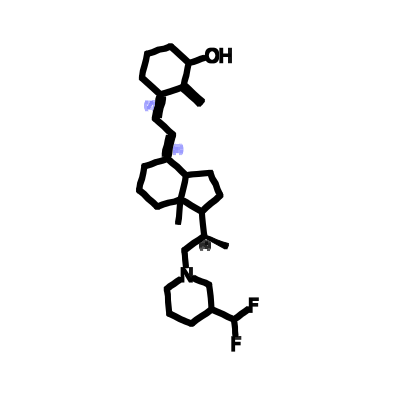 C=C1/C(=C\C=C2/CCCC3(C)C2CCC3[C@@H](C)CN2CCCC(C(F)F)C2)CCCC1O